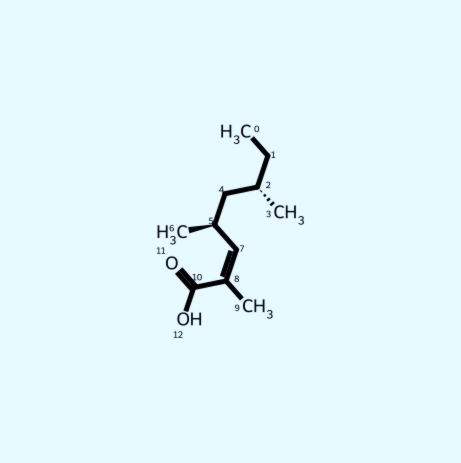 CC[C@H](C)C[C@H](C)C=C(C)C(=O)O